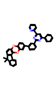 CC1(C)c2ccccc2-c2c1ccc1c2Oc2cc(-c3cccc(-c4nc(-c5ccccc5)cc(-c5ccccn5)n4)c3)ccc2O1